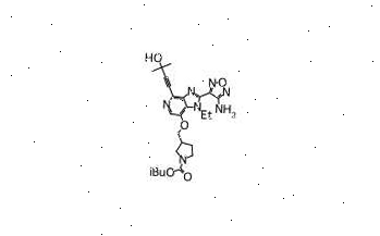 CCn1c(-c2nonc2N)nc2c(C#CC(C)(C)O)ncc(OCC3CCN(C(=O)OCC(C)C)C3)c21